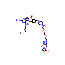 CCCCCNc1nc(N)nc2ccn(Cc3ccc(CN4CCN(C(=O)CCOCCOCCn5cc(CN6C(=O)C=CC6=O)nn5)CC4)cc3OC)c12